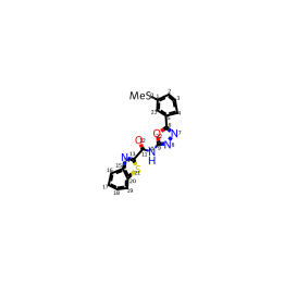 CSc1cccc(-c2nnc(NC(=O)c3nc4ccccc4s3)o2)c1